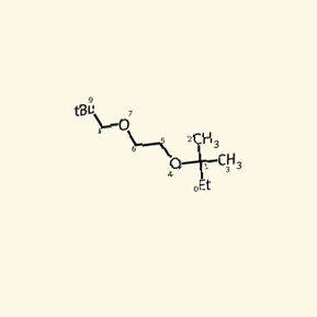 CCC(C)(C)OCCOCC(C)(C)C